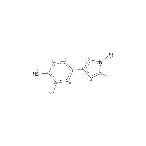 CCn1cc(-c2ccc(S)c(C)c2)cn1